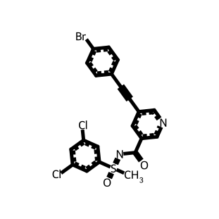 CS(=O)(=NC(=O)c1cncc(C#Cc2ccc(Br)cc2)c1)c1cc(Cl)cc(Cl)c1